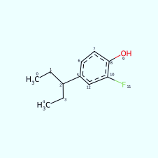 C[CH]C(CC)c1ccc(O)c(F)c1